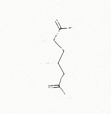 C=C(F)[C@@H](O)C[C@@H](O)CC(=O)O